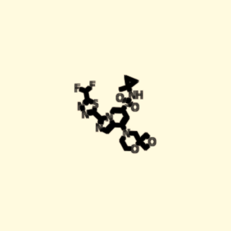 CC1(NS(=O)(=O)c2cc(N3CCOC4(COC4)C3)c3cnc(-c4nnc(C(F)F)s4)n3c2)CC1